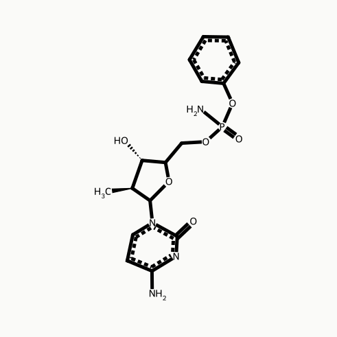 C[C@@H]1C(n2ccc(N)nc2=O)OC(COP(N)(=O)Oc2ccccc2)[C@H]1O